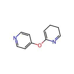 C1=NC(Oc2ccncc2)=CCC1